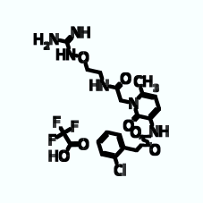 Cc1ccc(NS(=O)(=O)Cc2ccccc2Cl)c(=O)n1CC(=O)NCCONC(=N)N.O=C(O)C(F)(F)F